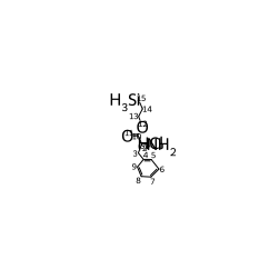 Cl.N[C@@H](Cc1ccccc1)C(=O)OCC[SiH3]